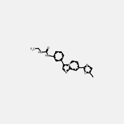 Cc1cnc(-c2ccn3c(-c4cccc(NC(=O)NCC(F)(F)F)c4)cnc3c2)o1